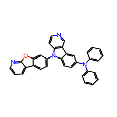 c1ccc(N(c2ccccc2)c2ccc3c(c2)c2cnccc2n3-c2ccc3c(c2)oc2ncccc23)cc1